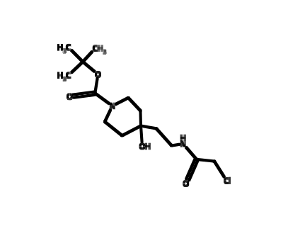 CC(C)(C)OC(=O)N1CCC(O)(CCNC(=O)CCl)CC1